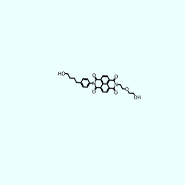 O=C1c2ccc3c4c(ccc(c24)C(=O)N1CCOCCO)C(=O)N(c1ccc(CCCCO)cc1)C3=O